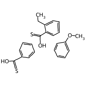 CCc1ccccc1C(O)=S.COc1ccccc1.OC(=S)c1ccccc1